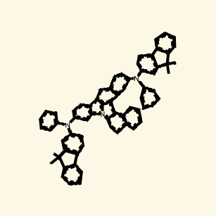 CC1(C)c2ccccc2-c2ccc(N(c3ccccc3)c3ccc4cc5c6ccc(N(c7ccccc7)c7ccc8c(c7)C(C)(C)c7ccccc7-8)cc6n6c7ccc8ccccc8c7c(c4c3)c56)cc21